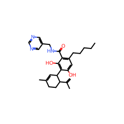 C=C(C)C1CCC(C)=CC1c1c(O)cc(CCCCC)c(C(=O)NCc2cncnc2)c1O